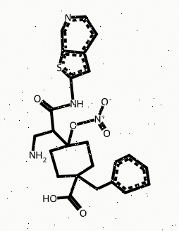 NCC(C(=O)Nc1cc2ccncc2s1)C1(O[N+](=O)[O-])CCC(Cc2ccccc2)(C(=O)O)CC1